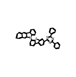 c1ccc(-c2nc(-c3ccccc3)nc(-c3ccc4c(c3)sc3c(-n5c6ccccc6c6cc7ccccc7cc65)cccc34)n2)cc1